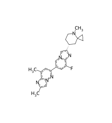 Cc1cn2nc(-c3cc(F)c4nc([C@@H]5CCN(C)C6(CC6)C5)cn4c3)cc(C)c2n1